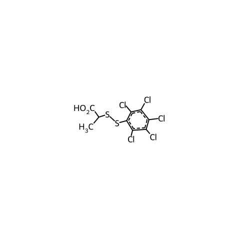 CC(SSc1c(Cl)c(Cl)c(Cl)c(Cl)c1Cl)C(=O)O